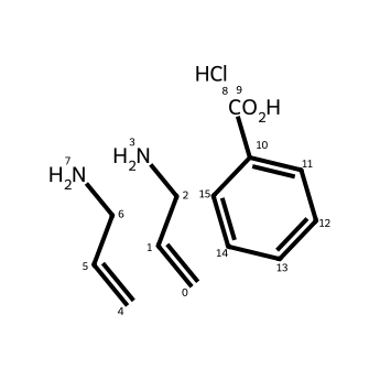 C=CCN.C=CCN.Cl.O=C(O)c1ccccc1